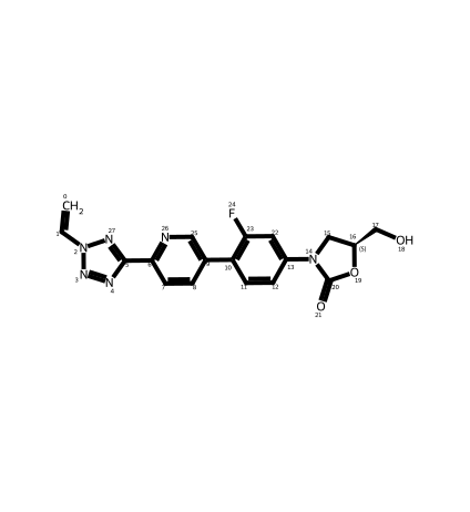 C=Cn1nnc(-c2ccc(-c3ccc(N4C[C@@H](CO)OC4=O)cc3F)cn2)n1